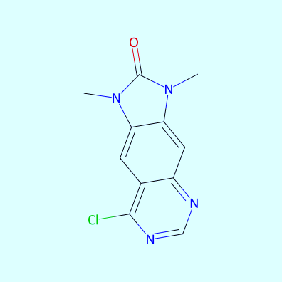 Cn1c(=O)n(C)c2cc3c(Cl)ncnc3cc21